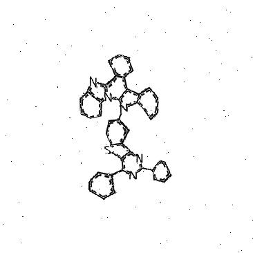 c1ccc(-c2nc(-c3ccccc3)c3sc4ccc(-n5c6ccccc6c6c7ccccc7c7nc8ccccc8n7c65)cc4c3n2)cc1